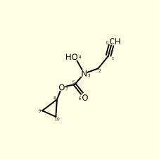 C#CCN(O)C(=O)OC1CC1